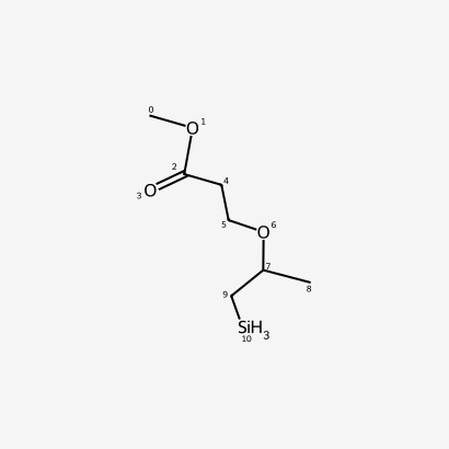 COC(=O)CCOC(C)C[SiH3]